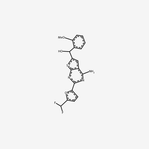 COc1ccccc1C(O)c1cc2c(N)nc(-c3ccc(C(F)F)o3)nc2s1